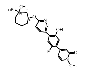 CCC[C@]1(C)CCCC[C@H](Oc2ccc(-c3cc(F)c(-c4ccn(C)c(=O)c4)cc3O)nn2)C1